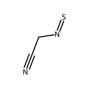 N#CCN=S